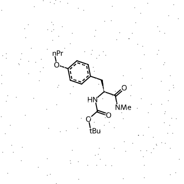 CCCOc1ccc(C[C@H](NC(=O)OC(C)(C)C)C(=O)NC)cc1